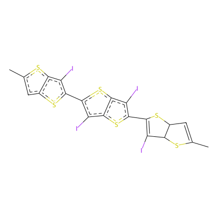 CC1=CC2SC(c3sc4c(I)c(-c5sc6cc(C)sc6c5I)sc4c3I)=C(I)C2S1